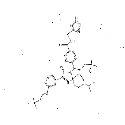 CC(C)C1CCC2(CC1)N=C(c1cccc(OCCC(C)(C)C)c1)C(=O)N2[C@H](CCC(C)(C)C)c1ccc(C(=O)NCc2nn[nH]n2)cc1